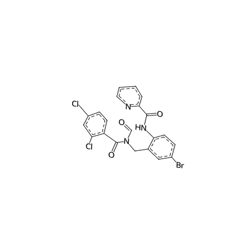 O=CN(Cc1cc(Br)ccc1NC(=O)c1ccccn1)C(=O)c1ccc(Cl)cc1Cl